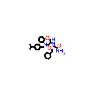 CC(C)c1ccc(CN2C(=O)C(N[C@@H](CCC3CCCCC3)C(N)=O)COc3ccccc32)cc1